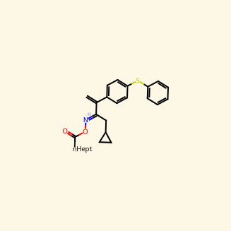 C=C(/C(CC1CC1)=N/OC(=O)CCCCCCC)c1ccc(Sc2ccccc2)cc1